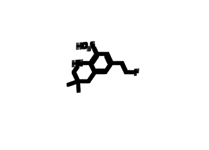 CC1(C)CNc2c(cc(CCF)cc2S(=O)(=O)O)C1